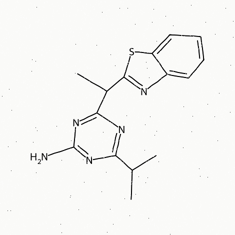 CC(C)c1nc(N)nc(C(C)c2nc3ccccc3s2)n1